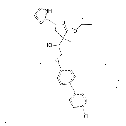 CCOC(=O)C(C)(CCc1ccc[nH]1)C(O)COc1ccc(-c2ccc(Cl)cc2)cc1